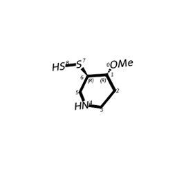 CO[C@@H]1CCNC[C@H]1SS